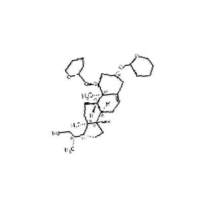 C[C@H](CO)[C@H]1CC[C@H]2[C@@H]3CC=C4C[C@@H](OC5CCCCO5)C[C@H](OC5CCCCO5)[C@]4(C)[C@H]3CC[C@]12C